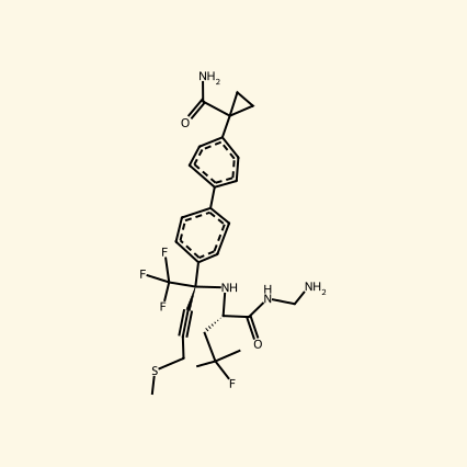 CSCC#C[C@](N[C@@H](CC(C)(C)F)C(=O)NCN)(c1ccc(-c2ccc(C3(C(N)=O)CC3)cc2)cc1)C(F)(F)F